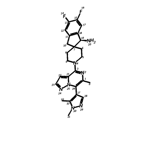 Cc1nc(N2CCC3(CC2)Cc2cc(F)c(F)cc2[C@H]3N)c2ccnn2c1-c1cnn(C)c1C